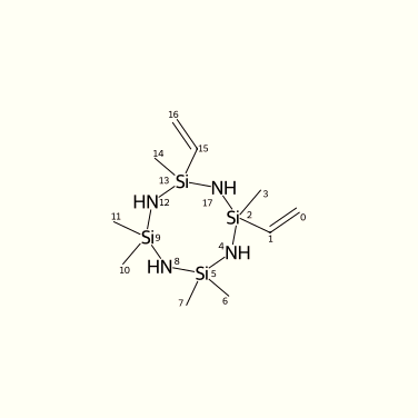 C=C[Si]1(C)N[Si](C)(C)N[Si](C)(C)N[Si](C)(C=C)N1